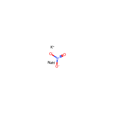 O=[N+]([O-])[O-].[K+].[NaH]